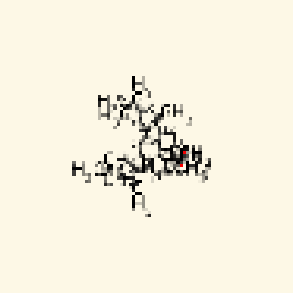 Cc1cc(C(C)(C)C)cc2c1-c1ccc(C(C)(C)C)cc1C2CC1c2cc(C(C)(C)C)ccc2-c2c(C)cc(C(C)(C)C)cc21